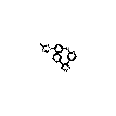 Cc1ncn(-c2ccc(Nc3cc(-c4nocc4-c4ccccn4)ccn3)cc2)n1